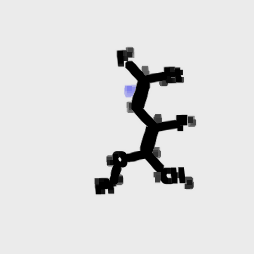 CC/C(F)=C\C(F)=C(C)OC(C)C